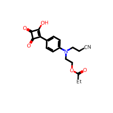 CCC(=O)OCCN(CCC#N)c1ccc(-c2c(O)c(=O)c2=O)cc1